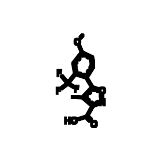 COc1ccc(-c2onc(C(=O)O)c2C)c(C(F)(F)F)c1